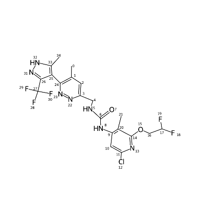 Cc1cc(CNC(=O)Nc2cc(Cl)nc(OCC(F)F)c2C)nnc1-c1c(C(F)(F)F)n[nH]c1C